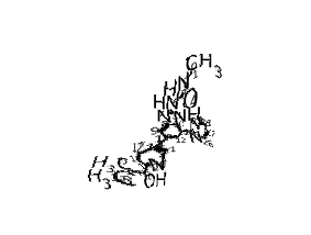 CCNC(=O)Nc1nc2cc(-c3ccc(C(O)C(C)C)nc3)cc(-c3ncccn3)c2[nH]1